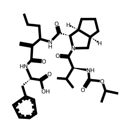 C=C(C(=O)N[C@@H](Cc1ccccc1)C(=O)O)C(CCC)NC(=O)[C@@H]1[C@H]2CCC[C@H]2CN1C(=O)[C@@H](NC(=O)OC(C)C)C(C)C